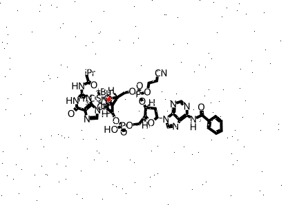 CC(C)C(=O)Nc1nc2c(ncn2[C@@H]2O[C@@H]3COP(=O)(OCCC#N)O[C@H]4C[C@H](n5cnc6c(NC(=O)c7ccccc7)ncnc65)O[C@@H]4COP(=O)(O)O[C@@H]2[C@@H]3O[Si](C)(C)C(C)(C)C)c(=O)[nH]1